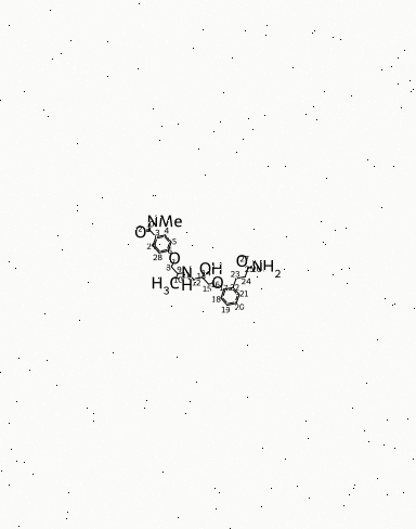 CNC(=O)c1ccc(OCC(C)NCC(O)COc2ccccc2CCC(N)=O)cc1